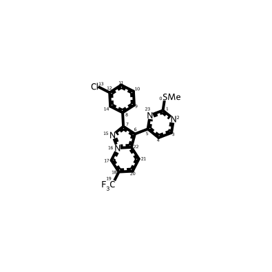 CSc1nccc(-c2c(-c3cccc(Cl)c3)nn3cc(C(F)(F)F)ccc23)n1